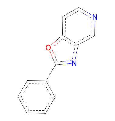 c1ccc(-c2nc3cnccc3o2)cc1